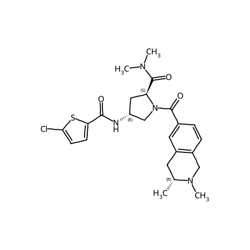 C[C@@H]1Cc2cc(C(=O)N3C[C@H](NC(=O)c4ccc(Cl)s4)C[C@H]3C(=O)N(C)C)ccc2CN1C